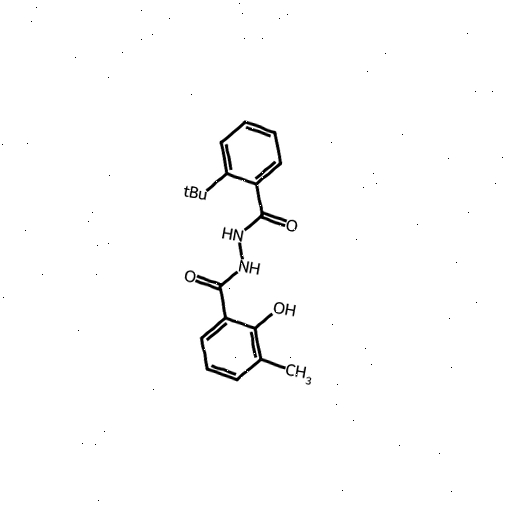 Cc1cccc(C(=O)NNC(=O)c2ccccc2C(C)(C)C)c1O